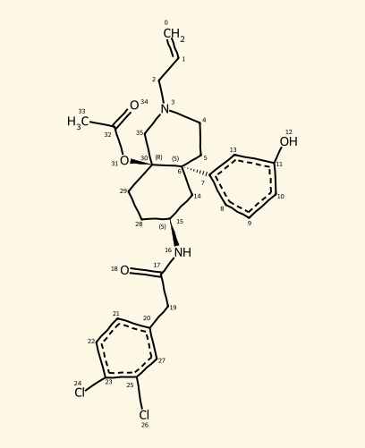 C=CCN1CC[C@@]2(c3cccc(O)c3)C[C@@H](NC(=O)Cc3ccc(Cl)c(Cl)c3)CC[C@]2(OC(C)=O)C1